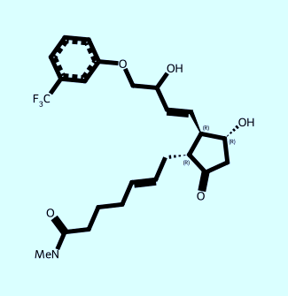 CNC(=O)CCCC=CC[C@H]1C(=O)C[C@@H](O)[C@@H]1C=CC(O)COc1cccc(C(F)(F)F)c1